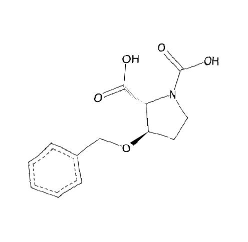 O=C(O)[C@H]1[C@H](OCc2ccccc2)CCN1C(=O)O